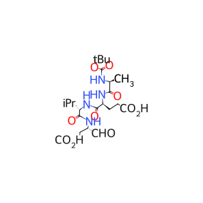 CC(C)[C@H](NC(=O)[C@H](CCC(=O)O)NC(=O)[C@H](C)NC(=O)OC(C)(C)C)C(=O)N[C@H](C=O)CC(=O)O